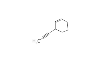 CC#CC1C=CCCC1